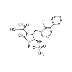 CC(C)(O)C(=O)N1C[C@H](F)[C@H](NS(C)(=O)=O)[C@@H]1Cc1cccc(-c2ccccc2)c1F